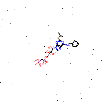 CO[C@H](COP(=O)(O)CP(=O)(O)O)[C@@H](O)[C@@H](O)n1cnc2c(NCc3ccccc3)nc(SC(C)C)nc21